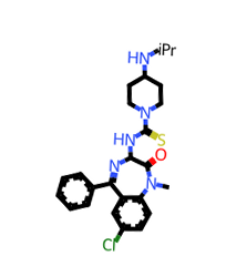 CC(C)NC1CCN(C(=S)NC2N=C(c3ccccc3)c3cc(Cl)ccc3N(C)C2=O)CC1